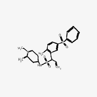 C=CC(c1cc(S(=O)(=O)c2ccccc2)ccc1C)S(=O)(=O)NC1CCN(C)C(C)C1